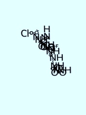 CC1(C)CCC(CN2CCN(c3ccc(C(=O)NS(=O)(=O)c4ccc(NCC5CCC(NCCCCCNc6cccc7c6C(=O)N(C6CCC(=O)NC6=O)C7=O)CC5)c([N+](=O)[O-])c4)c(Oc4cnc5[nH]ccc5c4)c3)CC2)=C(c2ccc(Cl)cc2)C1